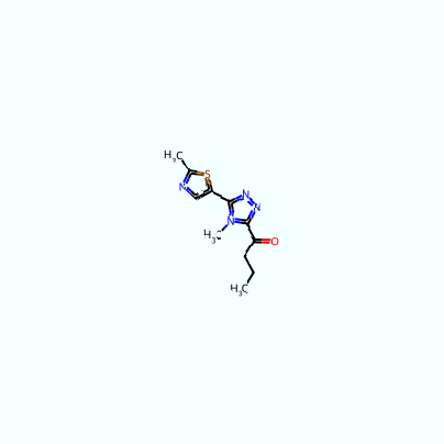 CCCC(=O)c1nnc(-c2cnc(C)s2)n1C